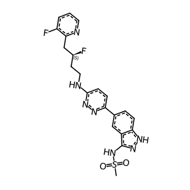 CS(=O)(=O)Nc1n[nH]c2ccc(-c3ccc(NCC[C@H](F)Cc4ncccc4F)nn3)cc12